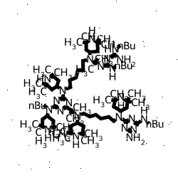 CCCCNC(=N/C(C)(C)N(CCCCCCN(c1nc(N(CCCC)C2CC(C)(C)NC(C)(C)C2)nc(C(C)(C)N(CCCCCCN(c2nc(N)nc(NCCCC)n2)C2CC(C)(C)NC(C)(C)C2)C2CC(C)(C)NC(C)(C)C2)n1)C1CC(C)(C)NC(C)(C)C1)C1CC(C)(C)NC(C)(C)C1)/N=C(\N)NCCCC